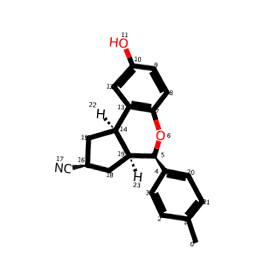 Cc1ccc([C@@H]2Oc3ccc(O)cc3[C@@H]3C[C@H](C#N)C[C@@H]32)cc1